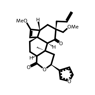 C=CC[C@]1(COC)C[C@H]2C(OC)=C[C@]23CC[C@@H]2C(=O)O[C@H](c4ccoc4)C[C@]2(C)[C@@H]3C1=O